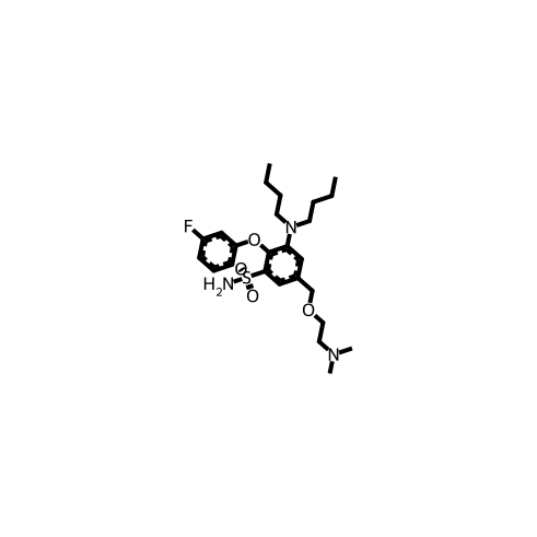 CCCCN(CCCC)c1cc(COCCN(C)C)cc(S(N)(=O)=O)c1Oc1cccc(F)c1